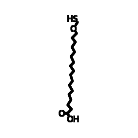 O=C(O)CCCCCCCCCCCCCCCCCOCS